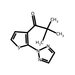 CC(C)(C)C(=O)c1ccsc1-n1nccn1